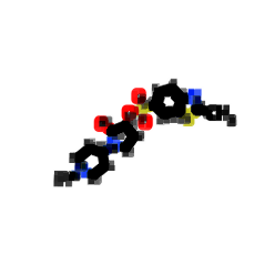 Cc1nc2ccc(S(=O)(=O)O[C@H]3CCN(C4CCN(C(C)C)CC4)C3=O)cc2s1